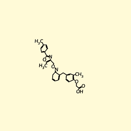 Cc1ccc(-c2nc(CON=C3CC=CC=C3Cc3ccc(OCC(=O)O)c(C)c3)c(C)o2)cc1